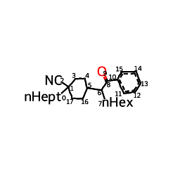 CCCCCCCC1(C#N)CCC(C(CCCCCC)C(=O)c2ccccc2)CC1